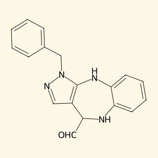 O=CC1Nc2ccccc2Nc2c1cnn2Cc1ccccc1